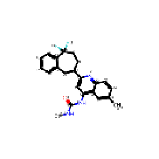 CCNC(=O)Nc1cc(C2CCC(F)(F)c3ccccc3C2)nc2ccc(C)cc12